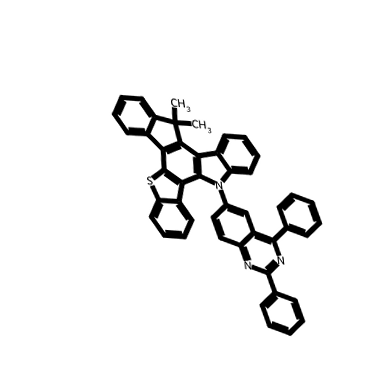 CC1(C)c2ccccc2-c2c1c1c3ccccc3n(-c3ccc4nc(-c5ccccc5)nc(-c5ccccc5)c4c3)c1c1c2sc2ccccc21